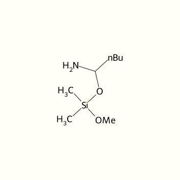 CCCCC(N)O[Si](C)(C)OC